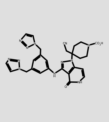 N#CCC1(n2nc(Nc3cc(Cn4ccnn4)cc(Cn4ccnn4)c3)c3c(=O)[nH]ccc32)CCN(C(=O)O)CC1